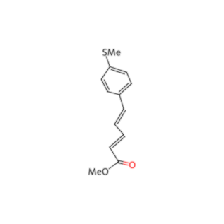 COC(=O)/C=C/C=C/c1ccc(SC)cc1